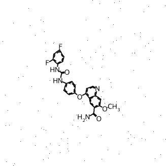 COc1cc2nccc(Oc3ccc(NC(=O)Nc4ccc(F)cc4F)cc3)c2cc1C(N)=O